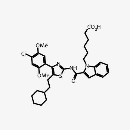 COc1cc(-c2nc(NC(=O)c3cc4ccccc4n3CCCCCC(=O)O)sc2CCC2CCCCC2)c(OC)cc1Cl